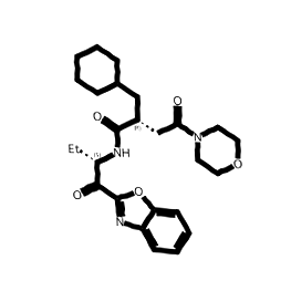 CC[C@H](NC(=O)[C@@H](CC(=O)N1CCOCC1)CC1CCCCC1)C(=O)c1nc2ccccc2o1